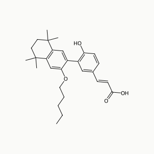 CCCCCOc1cc2c(cc1-c1cc(/C=C/C(=O)O)ccc1O)C(C)(C)CCC2(C)C